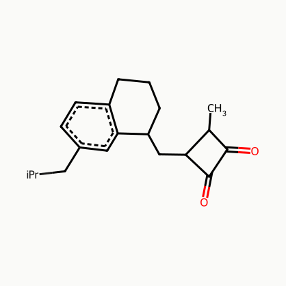 CC(C)Cc1ccc2c(c1)C(CC1C(=O)C(=O)C1C)CCC2